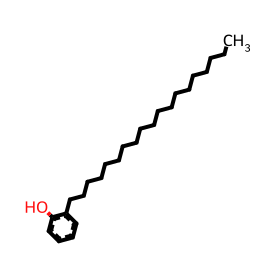 CCCCCCCCCCCCCCCCCCCc1ccccc1O